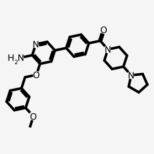 COc1cccc(COc2cc(-c3ccc(C(=O)N4CCC(N5CCCC5)CC4)cc3)cnc2N)c1